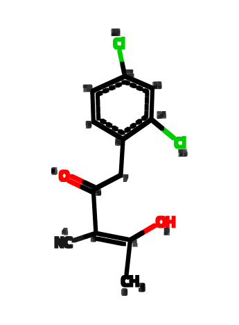 CC(O)=C(C#N)C(=O)Cc1ccc(Cl)cc1Cl